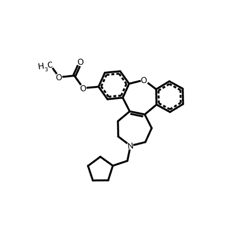 COC(=O)Oc1ccc2c(c1)C1=C(CCN(CC3CCCC3)CC1)c1ccccc1O2